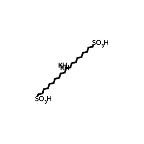 O=S(=O)(O)CCCCCCCCCCCCCCCCCCCCS(=O)(=O)O.[KH].[KH]